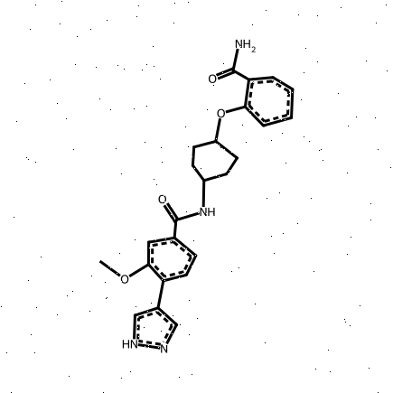 COc1cc(C(=O)NC2CCC(Oc3ccccc3C(N)=O)CC2)ccc1-c1cn[nH]c1